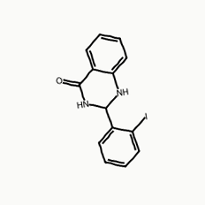 O=C1NC(c2ccccc2I)Nc2ccccc21